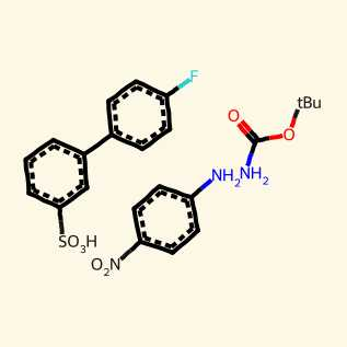 CC(C)(C)OC(N)=O.Nc1ccc([N+](=O)[O-])cc1.O=S(=O)(O)c1cccc(-c2ccc(F)cc2)c1